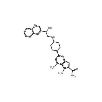 NC(=O)c1sc2nc(N3CCC(NCC(O)c4cnc5ccccc5c4)CC3)cc(C(F)(F)F)c2c1N